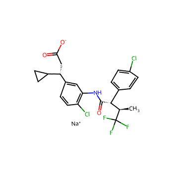 C[C@H]([C@H](C(=O)Nc1cc([C@@H](CC(=O)[O-])C2CC2)ccc1Cl)c1ccc(Cl)cc1)C(F)(F)F.[Na+]